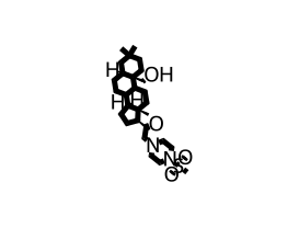 CC1(C)CC[C@]2(CO)C3CC[C@]4(C)[C@@H](C(=O)CN5CCN(S(C)(=O)=O)CC5)CC[C@H]4[C@@H]3CC[C@H]2C1